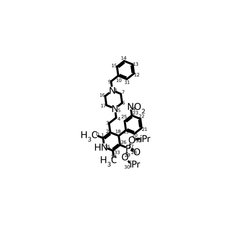 CC1=C(CCN2CCN(Cc3ccccc3)CC2)C(c2cccc([N+](=O)[O-])c2)C(P(=O)(OC(C)C)OC(C)C)=C(C)N1